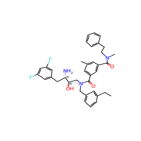 CCc1cccc(CN(C[C@@H](O)[C@@H](N)Cc2cc(F)cc(F)c2)C(=O)c2cc(C)cc(C(=O)N(C)CCc3ccccc3)c2)c1